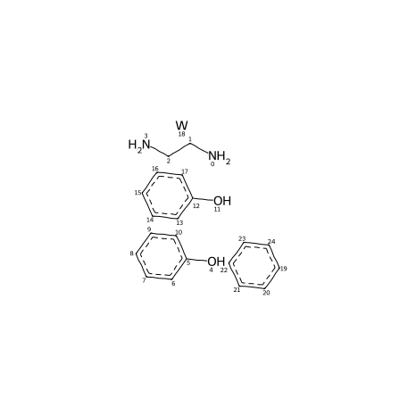 NCCN.Oc1ccccc1.Oc1ccccc1.[W].c1ccccc1